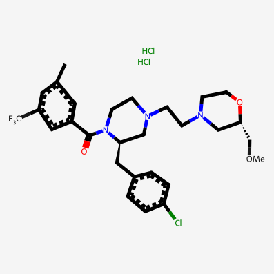 COC[C@@H]1CN(CCN2CCN(C(=O)c3cc(C)cc(C(F)(F)F)c3)[C@H](Cc3ccc(Cl)cc3)C2)CCO1.Cl.Cl